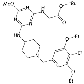 CCOc1cc(CN2CCC(Nc3nc(NCC(=O)OC(C)(C)C)nc(OC)n3)CC2)cc(OCC)c1Cl